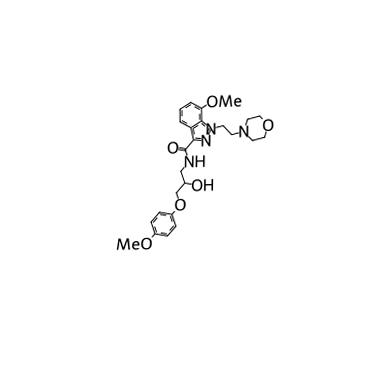 COc1ccc(OCC(O)CNC(=O)c2nn(CCN3CCOCC3)c3c(OC)cccc23)cc1